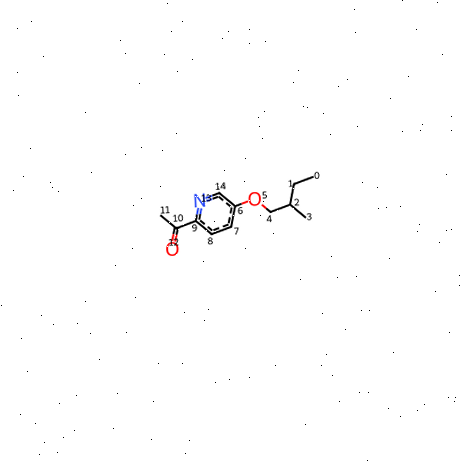 CCC(C)COc1ccc(C(C)=O)nc1